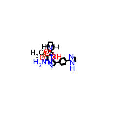 CS(=O)(=O)c1c([C@H]2C[C@H]3CC[C@@H](C2)N3C(=O)CO)nc2c(-c3ccc(-c4ncc[nH]4)cc3)cnn2c1N